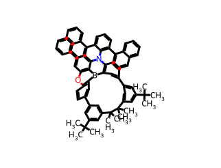 CC(C)(C)c1cc2cc(c1)C(C)(C)C(C)(C)c1cc(cc(C(C)(C)C)c1)-c1ccc3c(c1)B1c4cc-2ccc4Oc2cc(-c4ccccc4)cc(c21)N3c1c(-c2cccc3ccccc23)cccc1-c1cccc2ccccc12